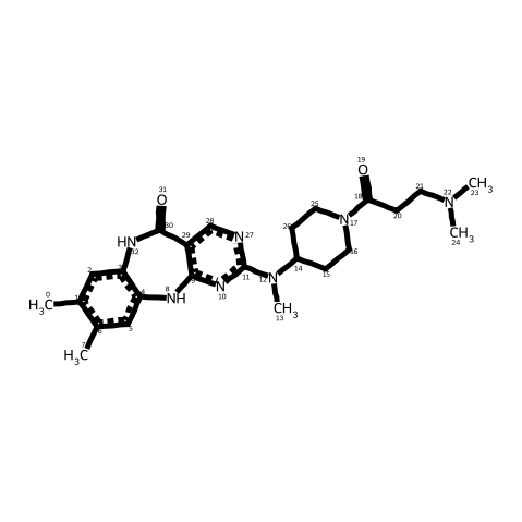 Cc1cc2c(cc1C)Nc1nc(N(C)C3CCN(C(=O)CCN(C)C)CC3)ncc1C(=O)N2